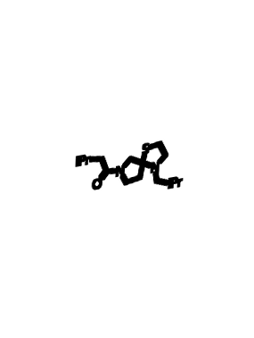 CC(C)CC(=O)N1CCC2(C1)SCCN2CC(C)C